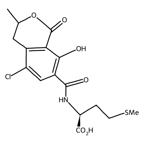 CSCC[C@H](NC(=O)c1cc(Cl)c2c(c1O)C(=O)OC(C)C2)C(=O)O